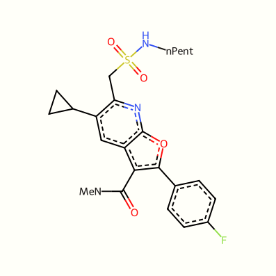 CCCCCNS(=O)(=O)Cc1nc2oc(-c3ccc(F)cc3)c(C(=O)NC)c2cc1C1CC1